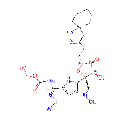 C=NC[C@@]1(c2ccc(/C(=N\C=N)NC(=O)OCO)[nH]2)O[C@H](COC(=O)CC2(N)CCCCC2)[C@@H](O)[C@H]1O